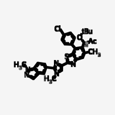 CC(=O)[C@@H](OC(C)(C)C)c1c(C)cc2nc(-c3cn(C)c(-c4ccc5c(cnn5C)c4)n3)sc2c1-c1ccc(Cl)cc1